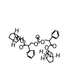 CN1[C@@H]2CC[C@H]1C[C@@H](OC(=O)C(COS(=O)OCC(C(=O)O[C@H]1C[C@H]3CC[C@@H](C1)N3C)c1ccccc1)c1ccccc1)C2